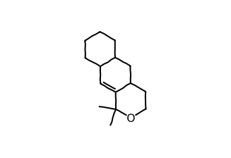 CC1(C)OCCC2CC3CCCCC3C=C21